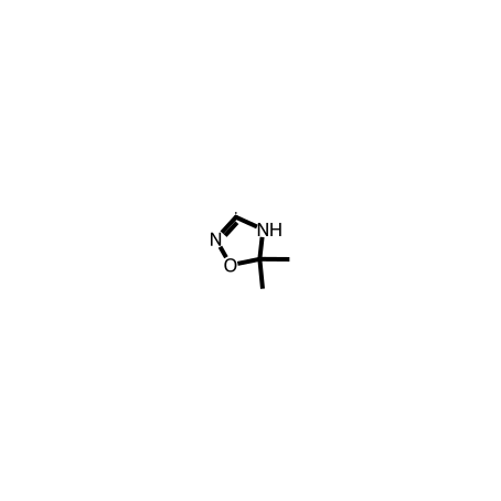 CC1(C)N[C]=NO1